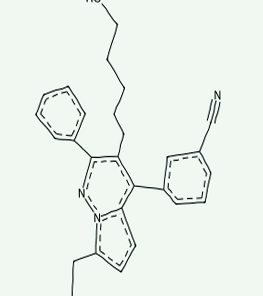 CCc1ccc2c(-c3cccc(C#N)c3)c(CCCCCO)c(-c3ccccc3)nn12